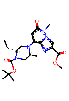 CC[C@@H]1CN(c2cc(=O)n(C)n3cc(C(=O)OC)nc23)[C@@H](C)CN1C(=O)OC(C)(C)C